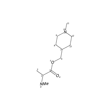 CNC(C)C(=O)OCC1CCN(C)CC1